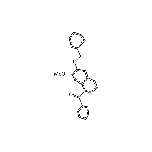 COc1cc2c(C(=O)c3ccccc3)nccc2cc1OCc1ccccc1